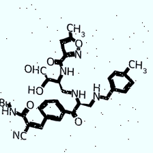 Cc1ccc(CNC[C@H](NC[C@H](NC(=O)c2cc(C)on2)[C@@H](O)C=O)C(=O)c2cccc(C=C(C#N)C(=O)NC(C)(C)C)c2)cc1